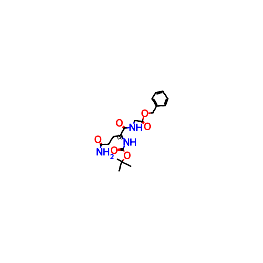 CC(C)(C)OC(=O)N[C@@H](CCC(N)=O)C(=O)NCC(=O)OCc1ccccc1